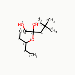 CCC(CC)OC(O)(CO)CC(C)(C)C